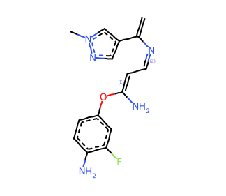 C=C(/N=C\C=C(/N)Oc1ccc(N)c(F)c1)c1cnn(C)c1